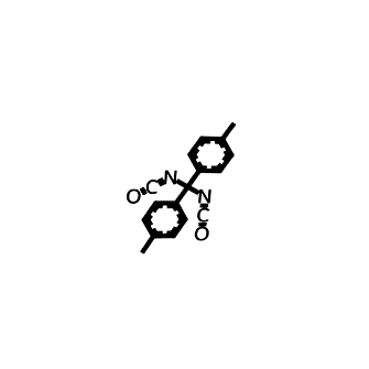 Cc1ccc(C(N=C=O)(N=C=O)c2ccc(C)cc2)cc1